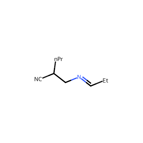 CC/C=N/CC(C#N)CCC